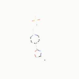 O=S(=O)([O-])CC[n+]1ccc(-c2nc(C(F)(F)F)co2)cc1